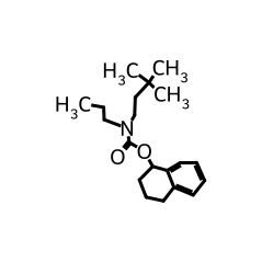 CCCN(CCC(C)(C)C)C(=O)OC1CCCc2ccccc21